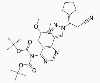 COC(Cc1c(-c2cnn(C(CC#N)=C3CCCC3)c2)ncnc1N(C(=O)OC(C)(C)C)C(=O)OC(C)(C)C)OC